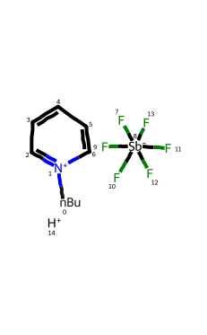 CCCC[n+]1ccccc1.[F][Sb-]([F])([F])([F])([F])[F].[H+]